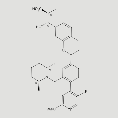 COc1cc(-c2ccc(C3CCc4ccc([C@H](O)[C@H](C)C(=O)O)cc4O3)cc2CN2[C@@H](C)CCC[C@@H]2C)c(F)cn1